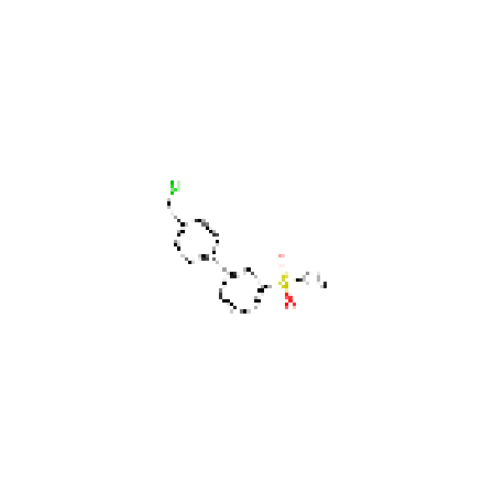 CS(=O)(=O)c1cccc(-c2ccc(CCl)cc2)c1